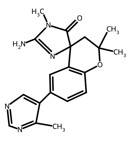 Cc1ncncc1-c1ccc2c(c1)C1(CC(C)(C)O2)N=C(N)N(C)C1=O